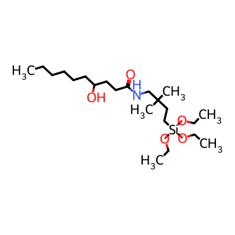 CCCCCCC(O)CCC(=O)NCC(C)(C)CC[Si](OCC)(OCC)OCC